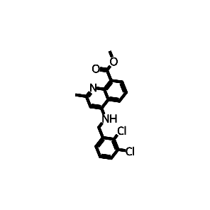 COC(=O)c1cccc2c(NCc3cccc(Cl)c3Cl)cc(C)nc12